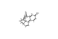 O=C1C=CC2=C3C=CC4=CC=CC(=O)C43CC(=O)C2=C1